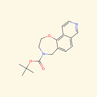 CC(C)(C)OC(=O)N1CCOc2c(ccc3cnccc23)C1